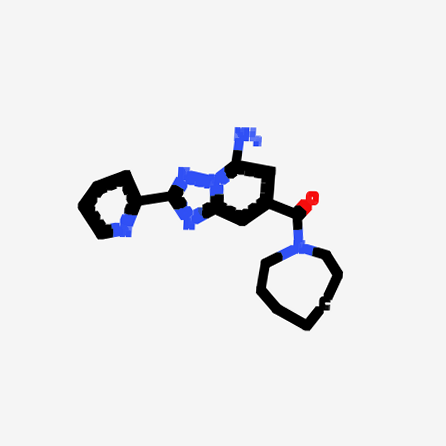 Nc1cc(C(=O)N2CCCCCCC2)cc2nc(-c3ccccn3)nn12